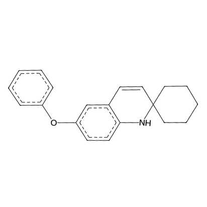 C1=CC2(CCCCC2)Nc2ccc(Oc3ccccc3)cc21